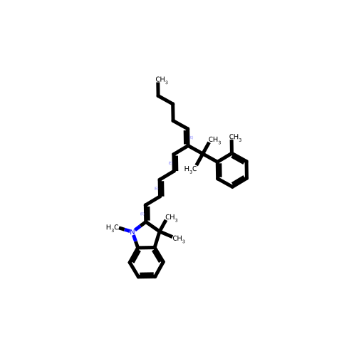 CCCC\C=C(/C=C/C=C/C=C1/N(C)c2ccccc2C1(C)C)C(C)(C)c1ccccc1C